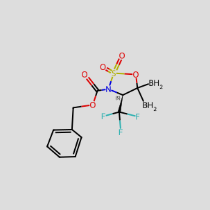 BC1(B)OS(=O)(=O)N(C(=O)OCc2ccccc2)[C@@H]1C(F)(F)F